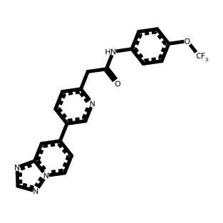 O=C(Cc1ccc(-c2ccn3ncnc3c2)cn1)Nc1ccc(OC(F)(F)F)cc1